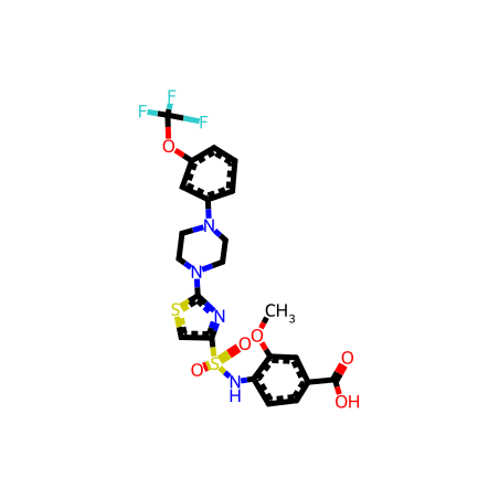 COc1cc(C(=O)O)ccc1NS(=O)(=O)c1csc(N2CCN(c3cccc(OC(F)(F)F)c3)CC2)n1